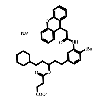 CC(C)(C)c1ccc(CCC(CCC2CCCCC2)OC(=O)CCC(=O)[O-])cc1NC(=O)CC1c2ccccc2Oc2ccccc21.[Na+]